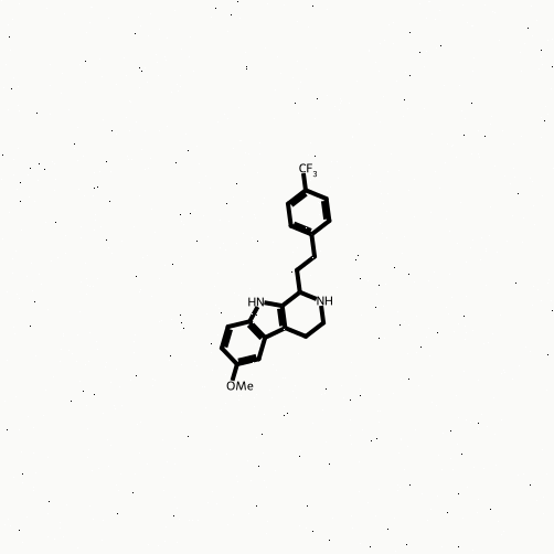 COc1ccc2[nH]c3c(c2c1)CCNC3CCc1ccc(C(F)(F)F)cc1